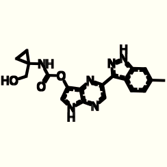 Cc1ccc2c(-c3cnc4[nH]cc(OC(=O)NC5(CO)CC5)c4n3)n[nH]c2c1